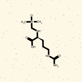 C[N+](C)([O-])CN[C@@H](CCCNC(N)=O)C(=O)O